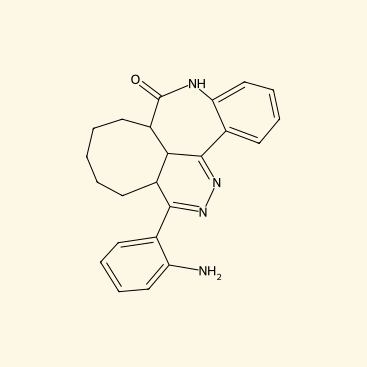 Nc1ccccc1C1=NN=C2c3ccccc3NC(=O)C3CCCCCC1C23